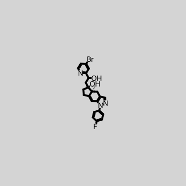 C[C@]12Cc3cnn(-c4ccc(F)cc4)c3C=C1CC[C@@]2(O)CC(O)c1cc(Br)ccn1